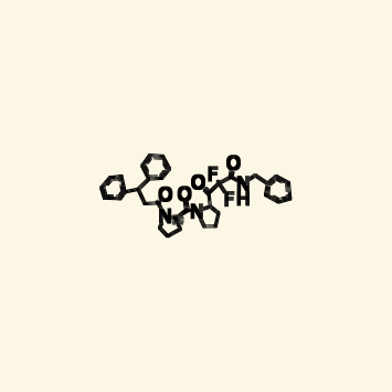 O=C([C@H]1CCCN1C(=O)CC(c1ccccc1)c1ccccc1)N1CCCC1C(=O)C(F)(F)C(=O)NCc1ccccc1